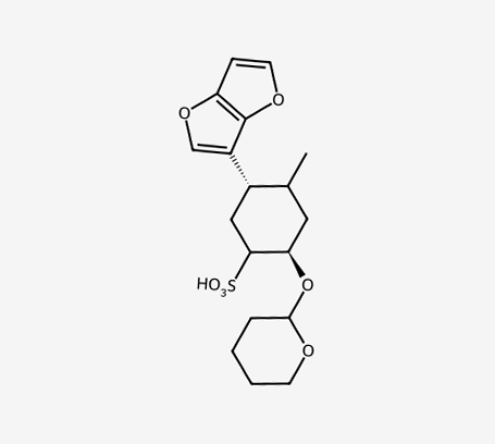 CC1C[C@@H](OC2CCCCO2)C(S(=O)(=O)O)C[C@@H]1c1coc2ccoc12